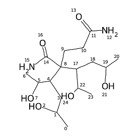 CC(O)CC(C(C)O)C(CCC(N)=O)(C(N)=O)C(CC(C)O)C(C)O